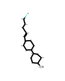 N#CC1CCC(C2CCC(C=CCCCF)CC2)CC1